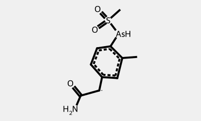 Cc1cc([CH]C(N)=O)ccc1[AsH]S(C)(=O)=O